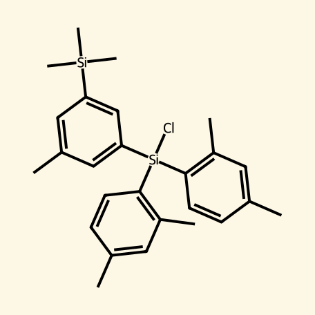 Cc1cc([Si](C)(C)C)cc([Si](Cl)(c2ccc(C)cc2C)c2ccc(C)cc2C)c1